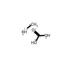 CI.O=C(O)O.[KH]